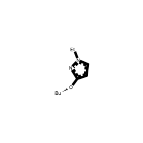 CC[C@@H](C)Oc1ccn(CC)n1